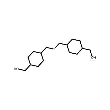 OCC1CCC(COCC2CCC(CO)CC2)CC1